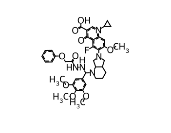 COc1cc(C(NNC(=O)COc2ccccc2)N2CCCC3CN(c4c(OC)cc5c(c4F)c(=O)c(C(=O)O)cn5C4CC4)CC32)cc(OC)c1OC